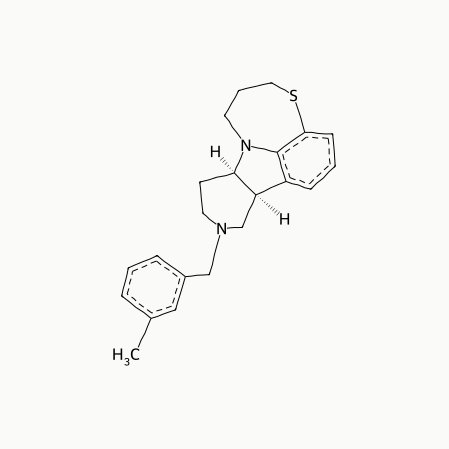 Cc1cccc(CN2CC[C@@H]3[C@H](C2)c2cccc4c2N3CCCS4)c1